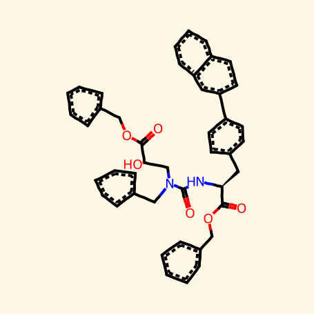 O=C(OCc1ccccc1)C(O)CN(Cc1ccccc1)C(=O)N[C@@H](Cc1ccc(-c2ccc3ccccc3c2)cc1)C(=O)OCc1ccccc1